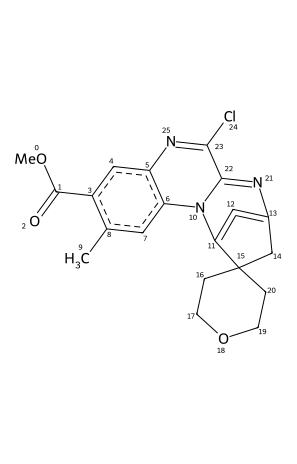 COC(=O)c1cc2c(cc1C)N1C3=C=C(CC34CCOCC4)N=C1C(Cl)=N2